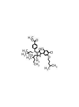 CCCC(C)CC1(C)N=C(c2cc(OCCCC(C)C)c(Cl)cc2Cl)C(=O)N1[C@H](CCC(C)(C)C)c1ccc(C(=O)OC)cc1